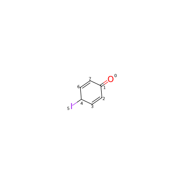 O=C1C=CC(I)C=C1